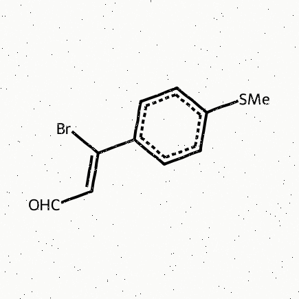 CSc1ccc(/C(Br)=C/C=O)cc1